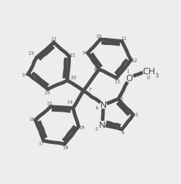 COc1ccnn1C(c1ccccc1)(c1ccccc1)c1ccccc1